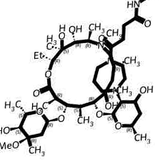 CC[C@H]1OC(=O)[C@H](C)[C@@H](O[C@H]2C[C@@](C)(OC)[C@@H](O)[C@H](C)O2)[C@H](C)[C@@H](O[C@@H]2O[C@H](C)CC(O)[C@@H]2N2CCCN(C(=O)CCC(=O)NO)CC2)[C@](C)(O)C[C@@H](C)CN(C)[C@H](C)[C@@H](O)[C@]1(C)O